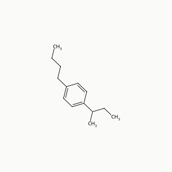 CCCCc1ccc(C(C)CC)cc1